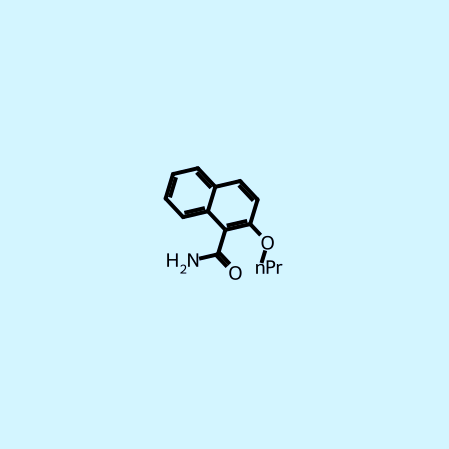 CCCOc1ccc2ccccc2c1C(N)=O